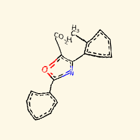 Cc1ccccc1-c1nc(-c2ccccc2)oc1C(=O)O